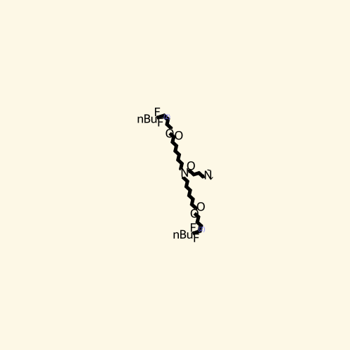 CCCCC(F)(F)/C=C\CCOC(=O)CCCCCCCN(CCCCCCCC(=O)OCC/C=C\C(F)(F)CCCC)C(=O)CCCN(C)C